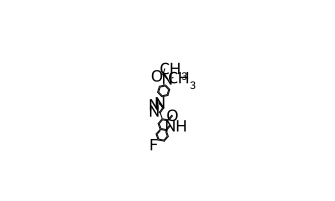 CC(=O)N(C)c1ccc(-n2cc(-c3cc4cc(F)ccc4[nH]c3=O)nn2)cc1